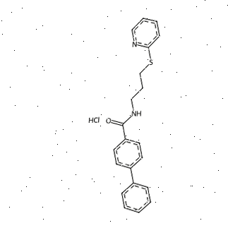 Cl.O=C(NCCCSc1ccccn1)c1ccc(-c2ccccc2)cc1